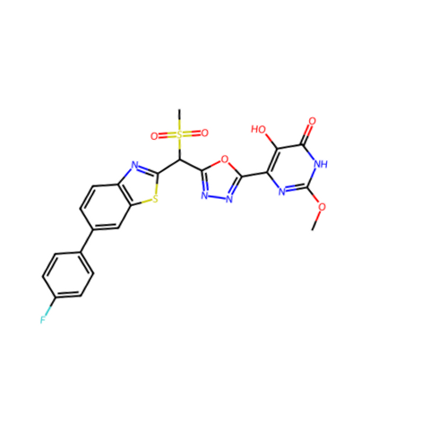 COc1nc(-c2nnc(C(c3nc4ccc(-c5ccc(F)cc5)cc4s3)S(C)(=O)=O)o2)c(O)c(=O)[nH]1